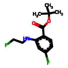 CC(C)(C)OC(=O)c1ccc(F)cc1NCCF